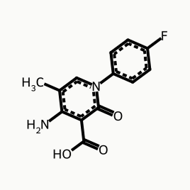 Cc1cn(-c2ccc(F)cc2)c(=O)c(C(=O)O)c1N